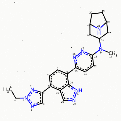 CCn1ncc(-c2ccc(-c3ccc(N(C)C4CC5CCC(C4)N5)nn3)c3[nH]ncc23)n1